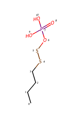 CCCCSSOP(=O)(O)O